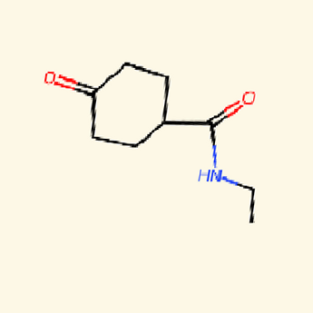 CCNC(=O)C1CCC(=O)CC1